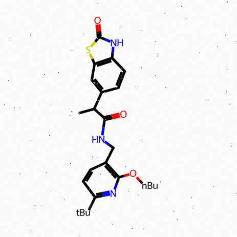 CCCCOc1nc(C(C)(C)C)ccc1CNC(=O)C(C)c1ccc2[nH]c(=O)sc2c1